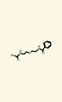 CC(C)C(=O)NCCOCCNC(=O)c1ccccc1